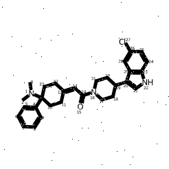 CN(C)C1(c2ccccc2)CCC(=CC(=O)N2CCC(c3c[nH]c4ccc(Cl)cc34)CC2)CC1